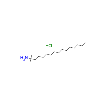 CCCCCCCCCCCCCCC(C)(C)N.Cl